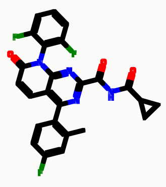 Cc1cc(F)ccc1-c1nc(C(=O)NC(=O)C2CC2)nc2c1ccc(=O)n2-c1c(F)cccc1F